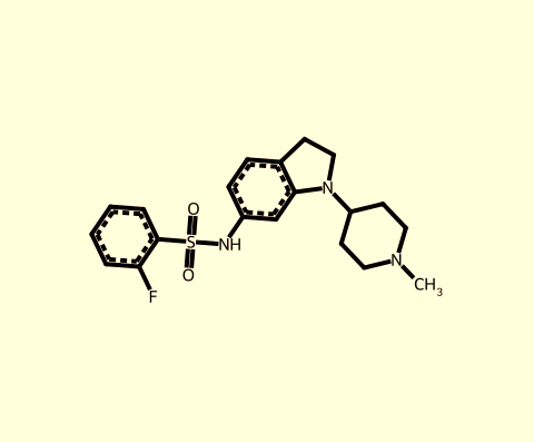 CN1CCC(N2CCc3ccc(NS(=O)(=O)c4ccccc4F)cc32)CC1